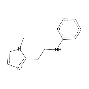 CN1C=C[N+]=C1CCNc1ccccc1